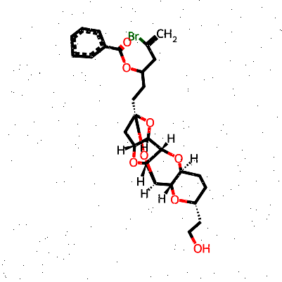 C=C(Br)CC(CC[C@@]12C[C@H]3O[C@H]4[C@@H](O1)[C@H]1O[C@@H](CCO)CC[C@@H]1O[C@H]4[C@H]3O2)OC(=O)c1ccccc1